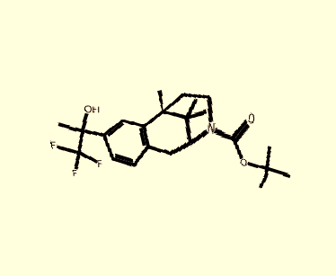 CC(C)(C)OC(=O)N1CC[C@@]2(C)c3cc(C(C)(O)C(F)(F)F)ccc3CC1C2(C)C